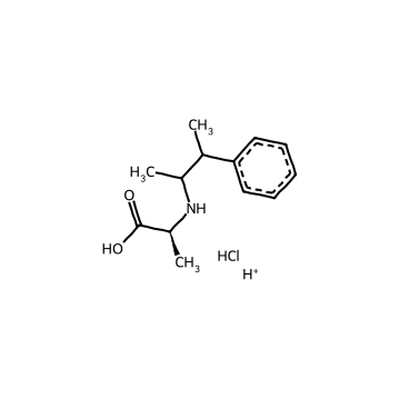 CC(N[C@@H](C)C(=O)O)C(C)c1ccccc1.Cl.[H+]